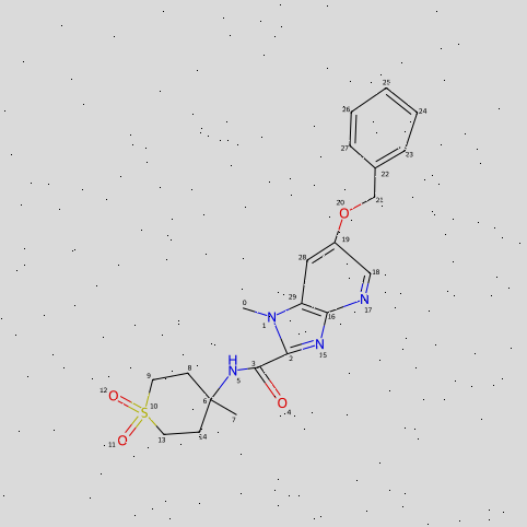 Cn1c(C(=O)NC2(C)CCS(=O)(=O)CC2)nc2ncc(OCc3ccccc3)cc21